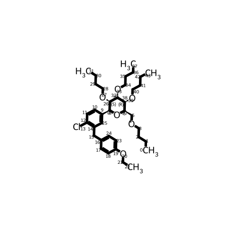 CCCCOC[C@H]1O[C@@H](c2ccc(Cl)c(Cc3ccc(OCC)cc3)c2)[C@H](OCCCC)[C@H](OCCCC)[C@@H]1OCCCC